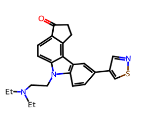 CCN(CC)CCn1c2ccc(-c3cnsc3)cc2c2c3c(ccc21)C(=O)CC3